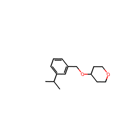 CC(C)c1cccc(COC2CCOCC2)c1